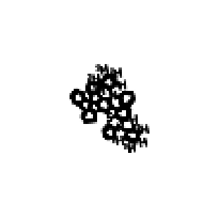 [2H]c1c([2H])c([2H])c(N(c2ccccc2)c2cccc3c2sc2cc4c(c(N(c5ccccc5)c5c([2H])c([2H])c([2H])c([2H])c5[2H])c23)-c2ccccc2C42c3ccccc3-c3ccccc32)c([2H])c1[2H]